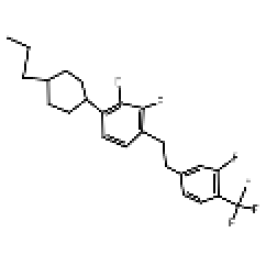 CCCC1CCC(c2ccc(CCc3ccc(C(F)(F)F)c(F)c3)c(F)c2F)CC1